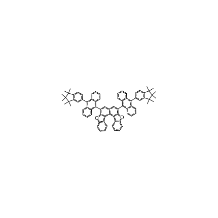 CC1(C)c2ccc(-c3c4ccccc4c(-c4cc5cc(-c6c7ccccc7c(-c7ccc8c(c7)C(C)(C)C(C)(C)C8(C)C)c7ccccc67)c6oc7ccccc7c6c5c5c4oc4ccccc45)c4ccccc34)cc2C(C)(C)C1(C)C